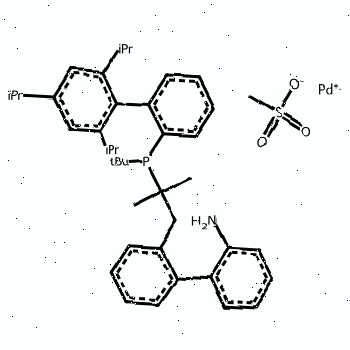 CC(C)c1cc(C(C)C)c(-c2ccccc2P(C(C)(C)C)C(C)(C)Cc2ccccc2-c2ccccc2N)c(C(C)C)c1.CS(=O)(=O)[O-].[Pd+]